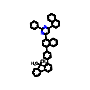 CC1(C)c2ccccc2-c2cccc(-c3ccc(-c4ccc(-c5cc(-c6cccc7ccccc67)nc(-c6ccccc6)n5)c5ccccc45)cc3)c21